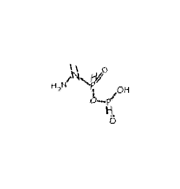 NN[PH](=O)O[PH](=O)O